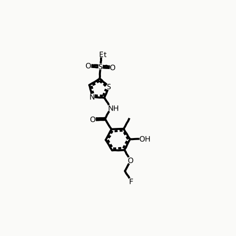 CCS(=O)(=O)c1cnc(NC(=O)c2ccc(OCF)c(O)c2C)s1